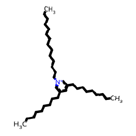 CCCCCCCCCCCCCC[n+]1cc(CCCCCCCCC)cc(CCCCCCCCC)c1